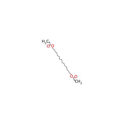 C=CC(=O)OCCCCCCCCCCCCCCCCOC(=O)C=C